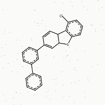 Clc1cccc2c1C1C=CC(c3cccc(-c4ccccc4)c3)=CC1S2